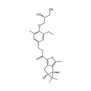 CCc1cc(CCC(=O)c2sc(C)c3c2C[C@@H]2[C@H]3C2(C)C)cc(C)c1OC[C@@H](O)CO